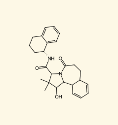 CC1(C)C(O)C2C3C=CC=CC3CCC(=O)N2C1C(=O)N[C@@H]1CCCc2ccccc21